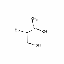 CCC(CO)N(C)C